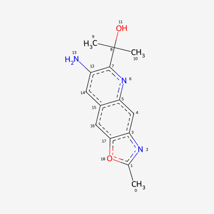 Cc1nc2cc3nc(C(C)(C)O)c(N)cc3cc2o1